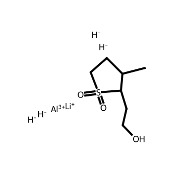 CC1CCS(=O)(=O)C1CCO.[Al+3].[H-].[H-].[H-].[H-].[Li+]